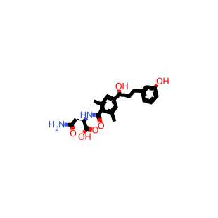 Cc1cc(C(O)CCc2cccc(O)c2)cc(C)c1C(=O)N[C@@H](CC(N)=O)C(=O)O